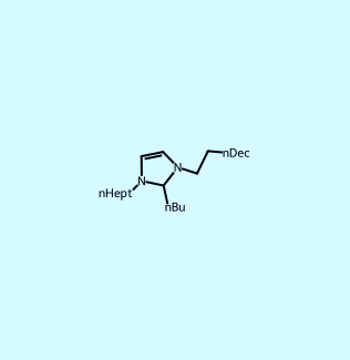 CCCCCCCCCCCCN1C=CN(CCCCCCC)C1CCCC